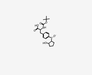 CC(C)(C)OC(=O)NC(Cc1ccc([S+]([O-])C2CCCC2O)cc1)C(=O)O